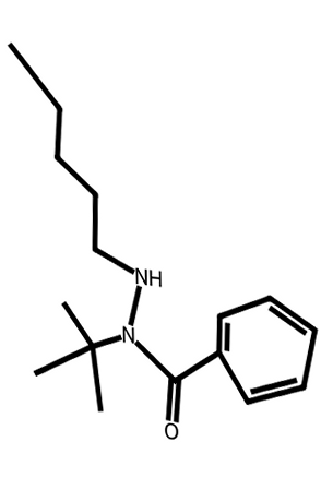 CCCCCNN(C(=O)c1ccccc1)C(C)(C)C